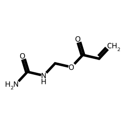 C=CC(=O)OCNC(N)=O